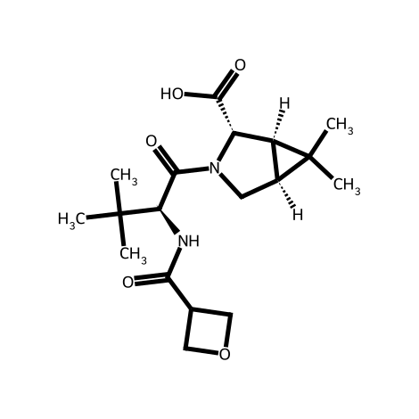 CC(C)(C)[C@H](NC(=O)C1COC1)C(=O)N1C[C@H]2[C@@H]([C@H]1C(=O)O)C2(C)C